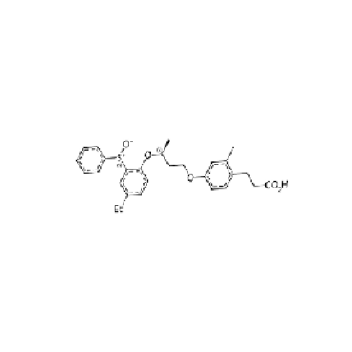 CCc1ccc(O[C@@H](C)CCOc2ccc(CCC(=O)O)c(C)c2)c([S@+]([O-])c2ccccc2)c1